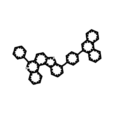 c1ccc(-c2nc3ccccc3c3c2ccc2sc4c(-c5ccc(-c6cc7ccccc7c7ccccc67)cc5)cccc4c23)cc1